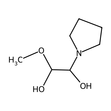 COC(O)C(O)N1CCCC1